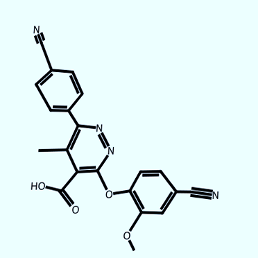 COc1cc(C#N)ccc1Oc1nnc(-c2ccc(C#N)cc2)c(C)c1C(=O)O